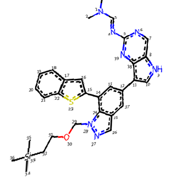 CN(C)C=Nc1ncc2[nH]cc(-c3cc(-c4cc5ccccc5s4)c4c(cnn4COCC[Si](C)(C)C)c3)c2n1